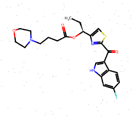 CC[C@H](OC(=O)CCCN1CCOCC1)c1csc(C(=O)c2c[nH]c3cc(F)ccc23)n1